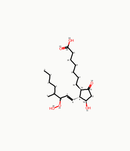 CCCCC(C)C(/C=C/[C@H]1[C@H](O)CC(=O)[C@@H]1CCCCCCC(=O)O)OO